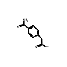 CC(C)C(=O)Cc1ccc(C(N)=O)cc1